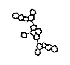 c1ccc(-n2c3cc(-c4cc5ccccc5c5c4oc4cc6ccccc6cc45)cc4ccc5cc(-c6cc7ccccc7c7c6oc6cc8ccccc8cc67)cc2c5c43)cc1